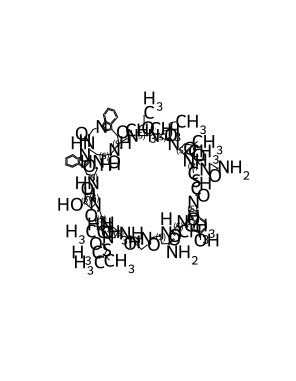 CCCC[C@H]1C(=O)N(C)[C@@H](CCCC)C(=O)N[C@@H](CC(C)C)C(=O)N[C@H](C(=O)NCC(N)=O)CSCC(=O)N[C@@H](Cc2ccc(O)cc2)C(=O)N(C)[C@@H](C)C(=O)N[C@@H](CC(N)=O)C(=O)N2CCC[C@H]2C(=O)N[C@@H](CNC(=O)SC(C)(C)C)C(=O)N[C@@H](CC(C)C)C(=O)N2C[C@H](O)C[C@H]2C(=O)N[C@@H](Cc2c[nH]c3ccccc23)C(=O)N[C@H]2CCNC(=O)Cn3cc(c4ccccc43)C[C@H](NC2=O)C(=O)N1C